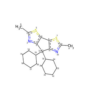 Cc1nc2c(s1)-c1sc(C)nc1[Si]2(C1CCCCC1)C1CCCCC1